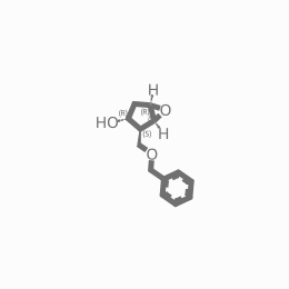 O[C@@H]1C[C@H]2O[C@H]2[C@H]1COCc1ccccc1